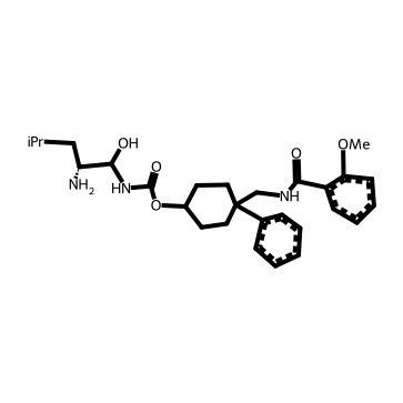 COc1ccccc1C(=O)NCC1(c2ccccc2)CCC(OC(=O)NC(O)[C@H](N)CC(C)C)CC1